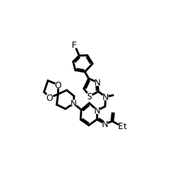 C=C(CC)/N=c1/ccc(N2CCC3(CC2)OCCO3)cn1CN(C)c1nc(-c2ccc(F)cc2)cs1